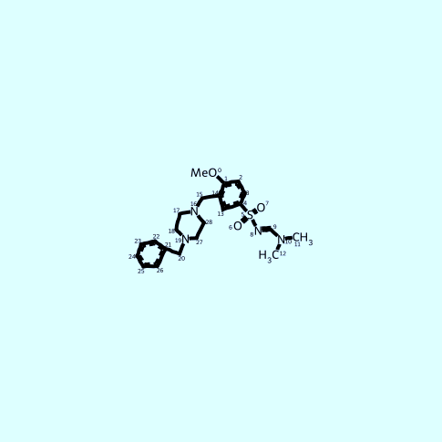 COc1ccc(S(=O)(=O)/N=C/N(C)C)cc1CN1CCN(Cc2ccccc2)CC1